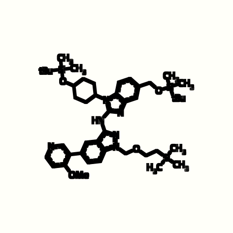 COc1ccncc1-c1ccc2c(c1)c(Nc1nc3cc(CO[Si](C)(C)C(C)(C)C)ccc3n1C1CCC(O[Si](C)(C)C(C)(C)C)CC1)nn2COCC[Si](C)(C)C